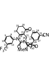 CNC(=O)N1C(=O)N(c2cccc(C(F)(F)F)c2)C2=C(C(=O)CCC2)[C@@H]1c1ccc(C#N)cc1S(C)(=O)=O